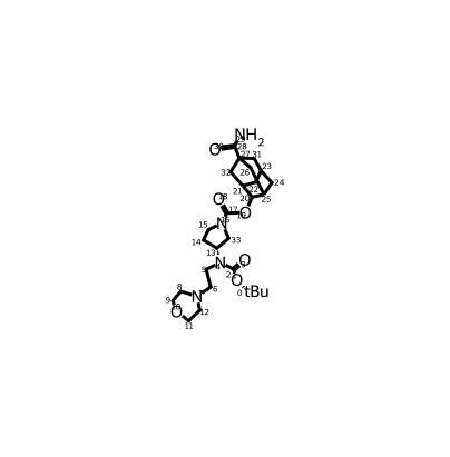 CC(C)(C)OC(=O)N(CCN1CCOCC1)[C@@H]1CCN(C(=O)OC2C3CC4CC2CC(C(N)=O)(C4)C3)C1